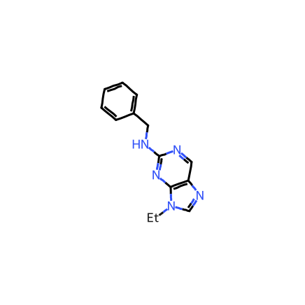 CCn1cnc2cnc(NCc3ccccc3)nc21